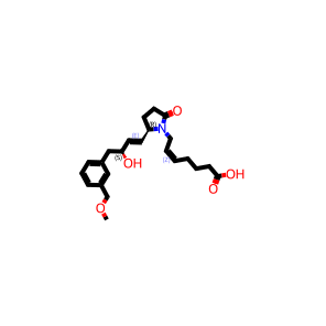 COCc1cccc(C[C@H](O)/C=C/[C@H]2CCC(=O)N2C/C=C\CCCC(=O)O)c1